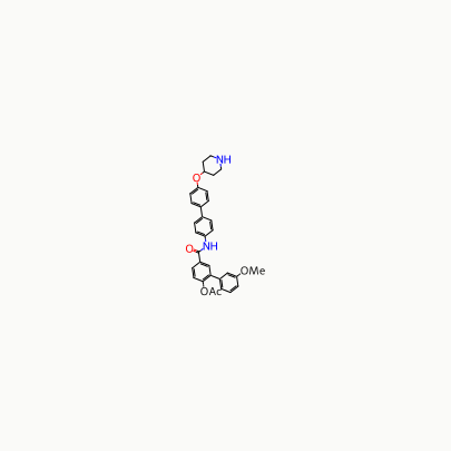 COc1cccc(-c2cc(C(=O)Nc3ccc(-c4ccc(OC5CCNCC5)cc4)cc3)ccc2OC(C)=O)c1